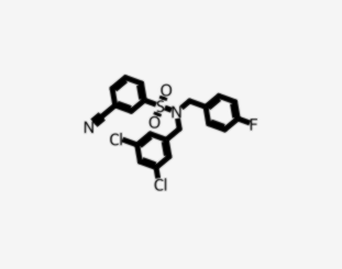 N#Cc1cccc(S(=O)(=O)N(Cc2ccc(F)cc2)Cc2cc(Cl)cc(Cl)c2)c1